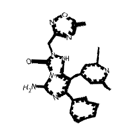 Cc1cc(-c2c(-c3ccccc3)nc(N)[n+]3c(=O)n(Cc4noc(C)n4)[nH]c23)cc(C)n1